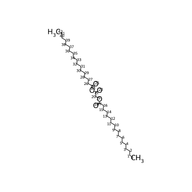 CCCCCCCCCCCCCCCCCC(=O)OCC(=O)OC(=O)CCCCCCCCCCCCCCCCC